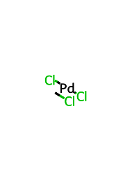 CCl.[Cl][Pd][Cl]